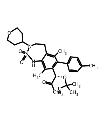 Cc1ccc(-c2c(C)c3c(c(C)c2[C@H](OC(C)(C)C)C(=O)O)NS(=O)(=O)N(C2CCOCC2)CC3)cc1